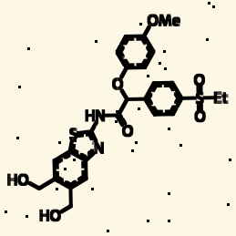 CCS(=O)(=O)c1ccc(C(Oc2ccc(OC)cc2)C(=O)Nc2nc3cc(CO)c(CO)cc3s2)cc1